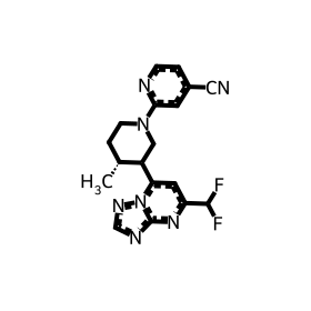 C[C@@H]1CCN(c2cc(C#N)ccn2)CC1c1cc(C(F)F)nc2ncnn12